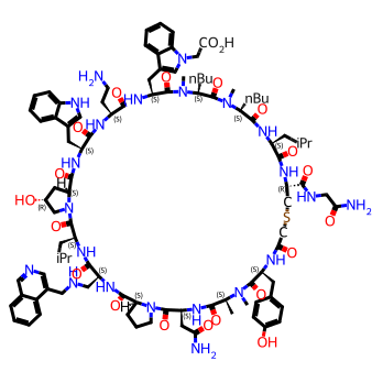 CCCC[C@H]1C(=O)N(C)[C@@H](CCCC)C(=O)N[C@@H](CC(C)C)C(=O)N[C@H](C(=O)NCC(N)=O)CSCC(=O)N[C@@H](Cc2ccc(O)cc2)C(=O)N(C)[C@@H](C)C(=O)N[C@@H](CC(N)=O)C(=O)N2CCC[C@H]2C(=O)N[C@@H](CNCc2cncc3ccccc23)C(=O)N[C@@H](CC(C)C)C(=O)N2C[C@H](O)C[C@H]2C(=O)N[C@@H](Cc2c[nH]c3ccccc23)C(=O)N[C@@H](CCN)C(=O)N[C@@H](Cc2cn(CC(=O)O)c3ccccc23)C(=O)N1C